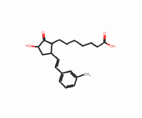 Cc1cccc(C=CC2CC(O)C(=O)C2CCCCCCC(=O)O)c1